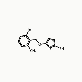 Cc1cccc(Br)c1COc1ccn(S)n1